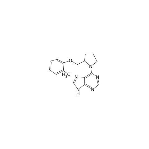 Cc1ccccc1OCC1CCCN1c1ncnc2[nH]cnc12